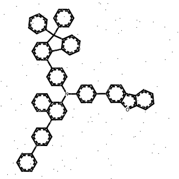 c1ccc(-c2ccc(-c3ccc(N(c4ccc(-c5ccc6c(c5)oc5ccccc56)cc4)c4ccc(-c5cccc6c5-c5ccccc5C6(c5ccccc5)c5ccccc5)cc4)c4ccccc34)cc2)cc1